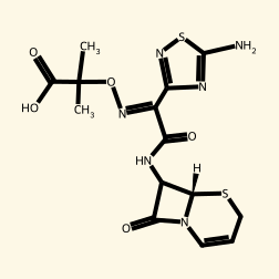 CC(C)(ON=C(C(=O)NC1C(=O)N2C=CCS[C@@H]12)c1nsc(N)n1)C(=O)O